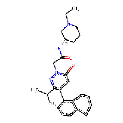 CCN1CCC[C@H](NC(=O)Cn2nc(C(C)C)c(-c3cccc4ccccc34)cc2=O)C1